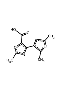 Cc1cc(-c2nc(C)oc2C(=O)O)c(C)o1